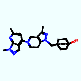 Cc1cc(N2CCc3c(c(C)nn3CC34CCC(O)(CC3)CC4)C2)c2cnn(C)c2n1